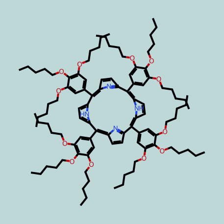 CCCCCOc1cc(-c2c3nc(c(-c4cc(OCCCCC)c(OCCCCC)c(OCCCCC)c4)c4ccc([nH]4)c(-c4cc(OCCCCC)c(OCCCCC)c(OCCCCC)c4)c4nc(c(-c5cc(OCCCCC)c(OCCCCC)c(OCCCCC)c5)c5ccc2[nH]5)C=C4)C=C3)cc(OCCCCC)c1OCCCCC